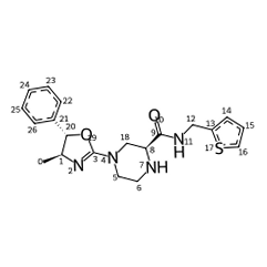 C[C@@H]1N=C(N2CCN[C@H](C(=O)NCc3cccs3)C2)O[C@H]1c1ccccc1